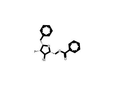 [2H]C1[C@@H](COC(=O)c2ccccc2)O[C@@H](Cc2ccccc2)[C@H]1F